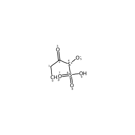 CCC(=O)[S+]([O-])S(=O)(=O)O